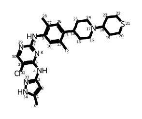 Cc1cc(Nc2nc(Nc3cc(C)c(C4CCN(C5CCSCC5)CC4)cc3C)ncc2Cl)n[nH]1